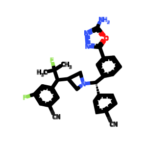 CC(C)(F)C(c1cc(F)cc(C#N)c1)C1CN([C@@H](c2ccc(C#N)cc2)c2cccc(-c3nnc(N)o3)c2)C1